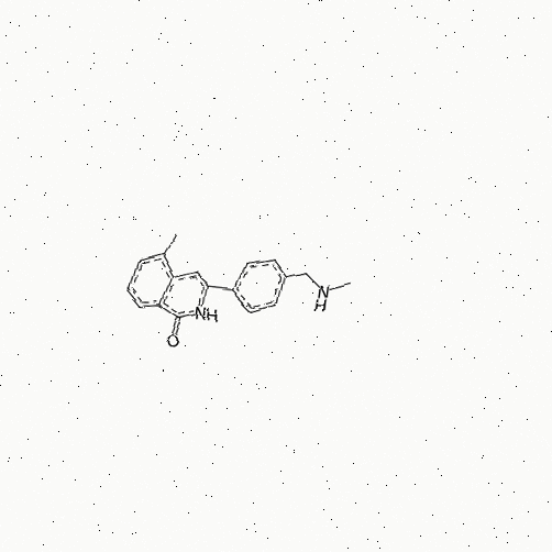 CNCc1ccc(-c2cc3c(C)cccc3c(=O)[nH]2)cc1